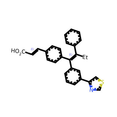 CC/C(=C(/c1ccc(/C=C/C(=O)O)cc1)c1cccc(-c2cscn2)c1)c1ccccc1